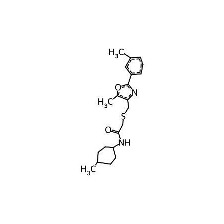 Cc1cccc(-c2nc(CSCC(=O)NC3CCC(C)CC3)c(C)o2)c1